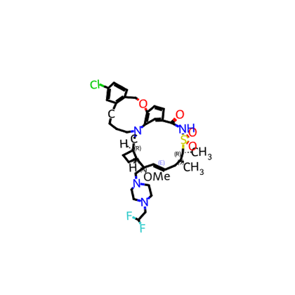 CO[C@@]1(CN2CCN(CC(F)F)CC2)/C=C/C[C@H](C)[C@@H](C)S(=O)(=O)NC(=O)c2ccc3c(c2)N(CCCCc2cc(Cl)ccc2CO3)C[C@@H]2CC[C@H]21